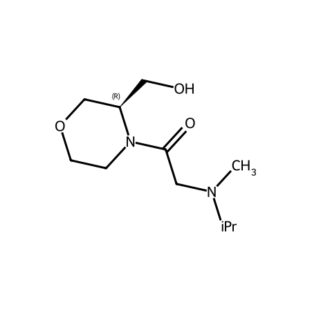 CC(C)N(C)CC(=O)N1CCOC[C@H]1CO